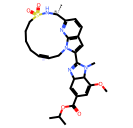 COC1=CC(C(=O)OC(C)C)=CC2N=C(c3cc4ccc5nc4n3C/C=C\CCCCS(=O)(=O)N[C@@H]5C)N(C)C12